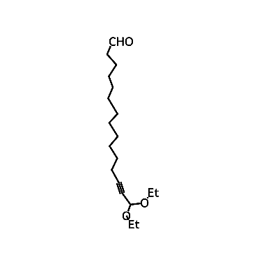 CCOC(C#CCCCCCCCCCCCC=O)OCC